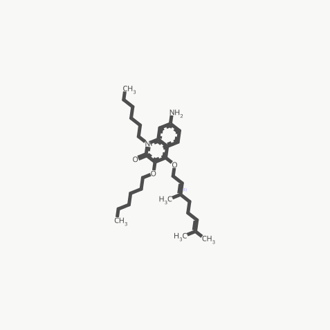 CCCCCCOc1c(OC/C=C(\C)CCC=C(C)C)c2ccc(N)cc2n(CCCCCC)c1=O